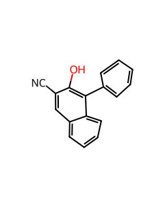 N#Cc1cc2ccccc2c(-c2ccccc2)c1O